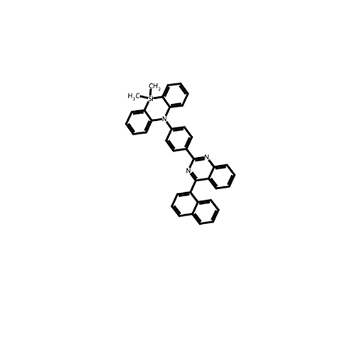 C[Si]1(C)c2ccccc2N(c2ccc(-c3nc(-c4cccc5ccccc45)c4ccccc4n3)cc2)c2ccccc21